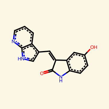 O=C1Nc2ccc(O)cc2C1=Cc1c[nH]c2ncccc12